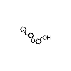 OCc1cccc(Oc2cccc(CN3CCCCC3)c2)c1